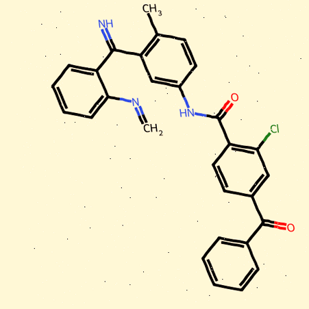 C=Nc1ccccc1C(=N)c1cc(NC(=O)c2ccc(C(=O)c3ccccc3)cc2Cl)ccc1C